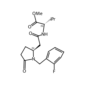 COC(=O)[C@@H](NC(=O)C[C@@H]1CCC(=O)N1Cc1ccccc1F)C(C)C